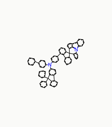 c1ccc(-c2ccc(N(c3ccc(-c4cccc5c4-c4ccccc4C54c5ccccc5-n5c6ccccc6c6cccc4c65)cc3)c3ccc4c(c3)C(c3ccccc3)(c3ccccc3)c3ccccc3-4)cc2)cc1